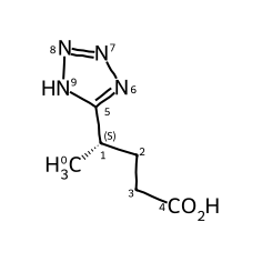 C[C@@H](CCC(=O)O)c1nnn[nH]1